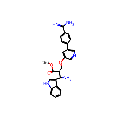 CC(C)(C)OC(=O)[C@@H](COc1cncc(-c2ccc(C(=N)N)cc2)c1)C(N)c1c[nH]c2ccccc12